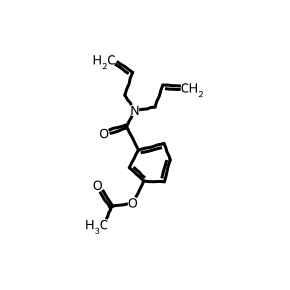 C=CCN(CC=C)C(=O)c1cccc(OC(C)=O)c1